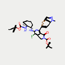 Cn1ncc2sc(-c3nc(N[C@@H]4CCCC[C@@H]4NC(=O)OC(C)(C)C)c(F)c4c3C(=O)N(C(=O)OC(C)(C)C)C4)cc21